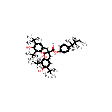 CCC(C)(C)C(C)(C)c1ccc(OC(=O)C(Cc2cc(C(C)(C)C)c(O)c(C(C)(C)C)c2)(Cc2cc(C(C)(C)C)c(O)c(C(C)(C)C)c2)C(=O)O)cc1